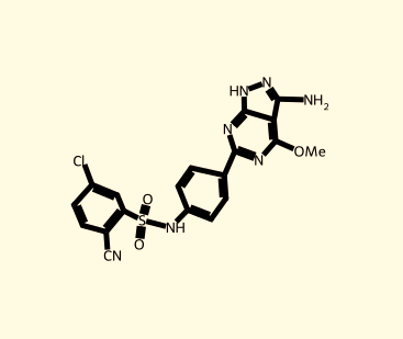 COc1nc(-c2ccc(NS(=O)(=O)c3cc(Cl)ccc3C#N)cc2)nc2[nH]nc(N)c12